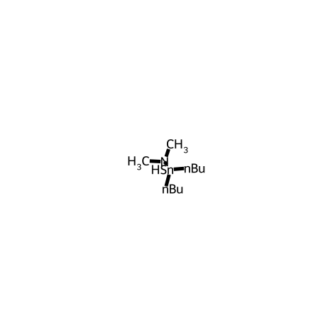 CCC[CH2][SnH]([CH2]CCC)[N](C)C